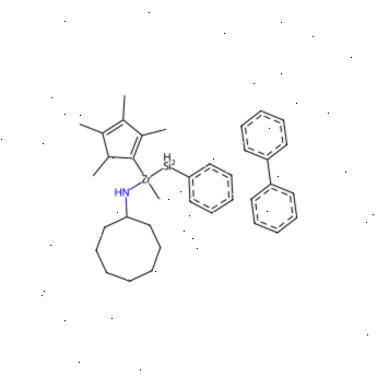 CC1=C(C)C(C)[C]([Zr]([CH3])([NH]C2CCCCCCC2)[SiH2]c2ccccc2)=C1C.c1ccc(-c2ccccc2)cc1